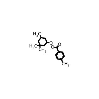 Cc1ccc(C(=O)OO[C]2CC(C)CC(C)(C)C2)cc1